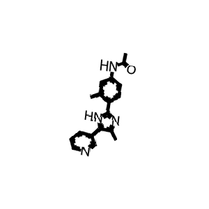 CC(=O)Nc1ccc(-c2nc(C)c(-c3cccnc3)[nH]2)c(C)c1